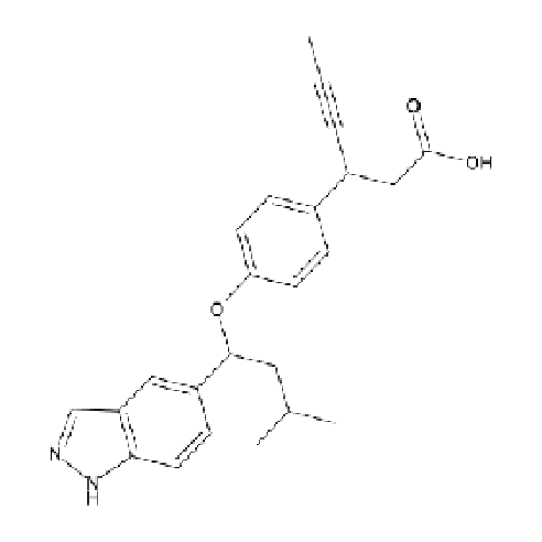 CC#CC(CC(=O)O)c1ccc(OC(CC(C)C)c2ccc3[nH]ncc3c2)cc1